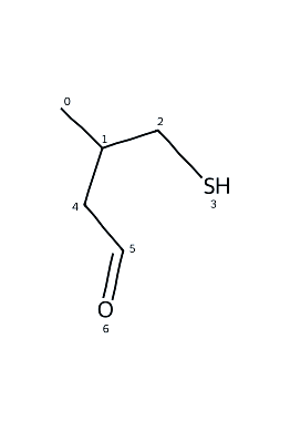 CC(CS)CC=O